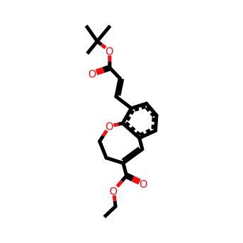 CCOC(=O)C1=Cc2cccc(C=CC(=O)OC(C)(C)C)c2OCC1